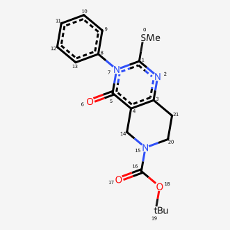 CSc1nc2c(c(=O)n1-c1ccccc1)CN(C(=O)OC(C)(C)C)CC2